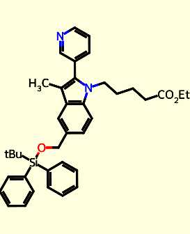 CCOC(=O)CCCCn1c(-c2cccnc2)c(C)c2cc(CO[Si](c3ccccc3)(c3ccccc3)C(C)(C)C)ccc21